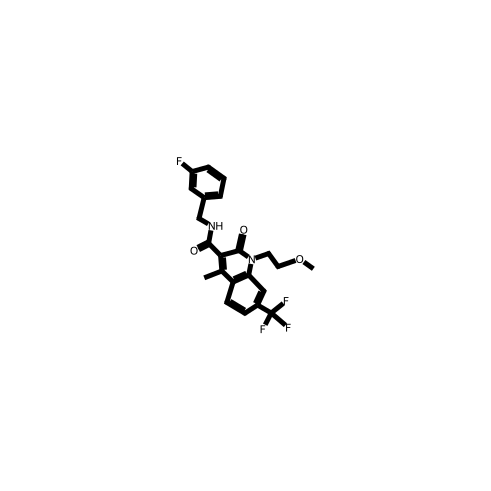 COCCn1c(=O)c(C(=O)NCc2cccc(F)c2)c(C)c2ccc(C(F)(F)F)cc21